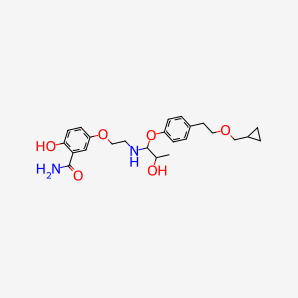 CC(O)C(NCCOc1ccc(O)c(C(N)=O)c1)Oc1ccc(CCOCC2CC2)cc1